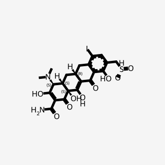 CN(C)[C@@H]1C(O)=C(C(N)=O)C(=O)[C@@]2(O)C(O)=C3C(=O)c4c(O)c(C[SH](=O)=O)cc(I)c4C[C@H]3C[C@@H]12